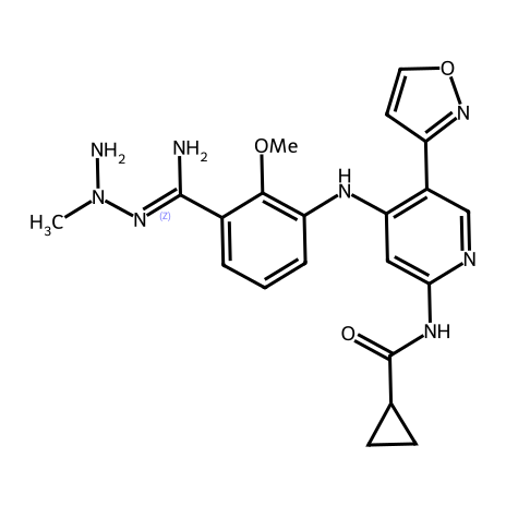 COc1c(Nc2cc(NC(=O)C3CC3)ncc2-c2ccon2)cccc1/C(N)=N/N(C)N